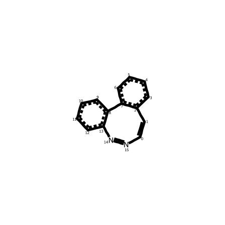 C1=Cc2ccccc2-c2ccccc2N=N1